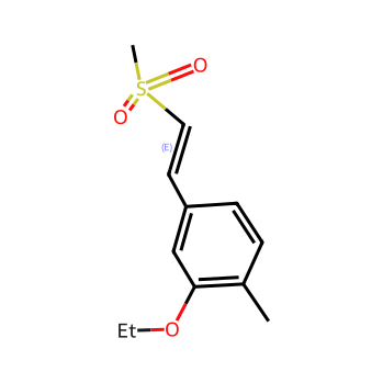 CCOc1cc(/C=C/S(C)(=O)=O)ccc1C